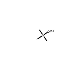 [CH2][Si](C)(C)OC